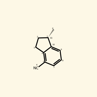 C[C@H]1CCc2c(C#N)cccc21